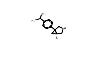 CC(C)c1ccc(C23CNC[C@H]2C3)cc1